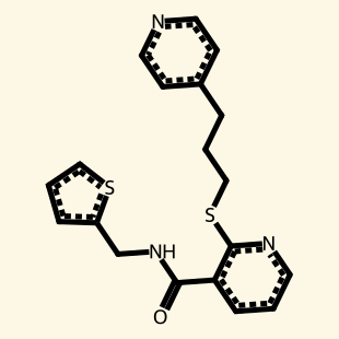 O=C(NCc1cccs1)c1cccnc1SCCCc1ccncc1